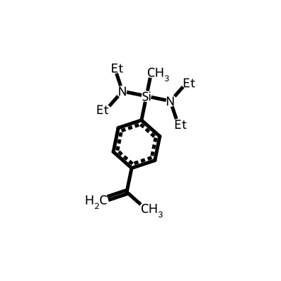 C=C(C)c1ccc([Si](C)(N(CC)CC)N(CC)CC)cc1